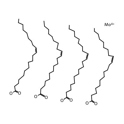 CCCCCCCC/C=C\CCCCCCCCCC(=O)[O-].CCCCCCCC/C=C\CCCCCCCCCC(=O)[O-].CCCCCCCC/C=C\CCCCCCCCCC(=O)[O-].CCCCCCCC/C=C\CCCCCCCCCC(=O)[O-].[Mo+4]